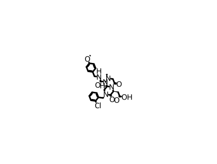 COc1ccc(CNC(=O)N2[C@H]3CN(Cc4ccccc4Cl)C(=O)[C@H](CC(=O)O)N3C(=O)CN2C)cc1